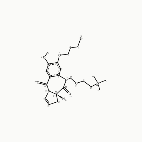 COc1cc2c(cc1OCCCBr)N(COCC[Si](C)(C)C)C(=O)[C@@H]1C[C]=CN1C2=O